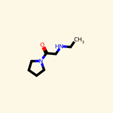 CCNCC(=O)N1CCCC1